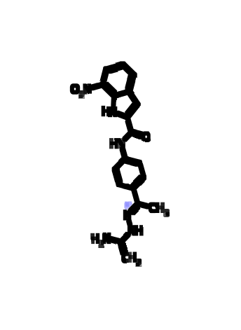 C=C(N)N/N=C(\C)c1ccc(NC(=O)c2cc3cccc([N+](=O)[O-])c3[nH]2)cc1